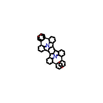 c1ccc(-c2cccc3c4c5c6cccc(-c7ccccc7)c6n6c7c(-c8ccccc8)cccc7c(c7c8cccc(-c9ccccc9)c8n(c23)c47)c56)cc1